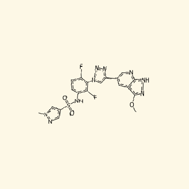 COc1n[nH]c2ncc(-c3cn(-c4c(F)ccc(NS(=O)(=O)c5cnn(C)c5)c4F)nn3)cc12